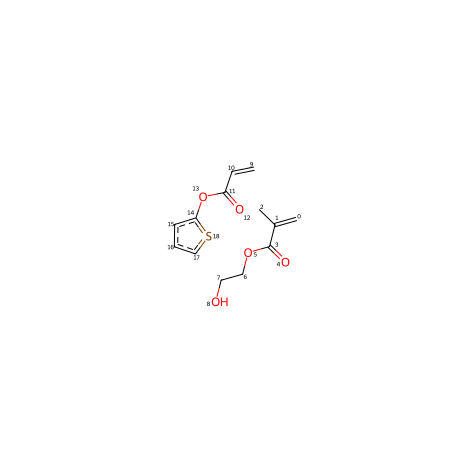 C=C(C)C(=O)OCCO.C=CC(=O)Oc1cccs1